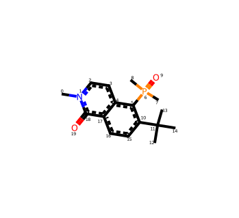 Cn1ccc2c(P(C)(C)=O)c(C(C)(C)C)ccc2c1=O